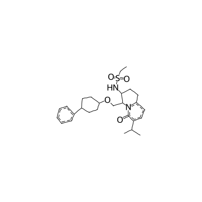 CCS(=O)(=O)NC1CCc2ccc(C(C)C)c(=O)n2C1COC1CCC(c2ccccc2)CC1